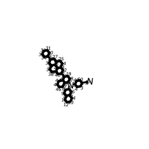 N#Cc1ccc(N(c2ccc3ccccc3c2)c2ccc(-c3cc4ccc5cc(-c6ccccc6)cc6ccc(c3)c4c56)c3ccccc23)cc1